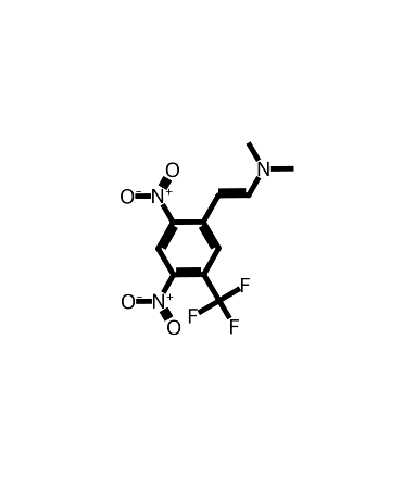 CN(C)/C=C/c1cc(C(F)(F)F)c([N+](=O)[O-])cc1[N+](=O)[O-]